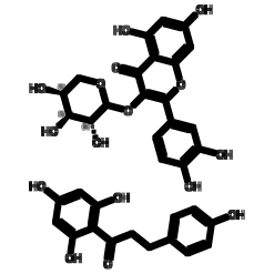 O=C(CCc1ccc(O)cc1)c1c(O)cc(O)cc1O.O=c1c(OC2OC[C@H](O)[C@H](O)[C@H]2O)c(-c2ccc(O)c(O)c2)oc2cc(O)cc(O)c12